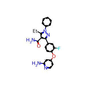 CCc1c(C(N)=O)c(-c2ccc(Oc3[c]c(N)ncc3)c(F)c2)nn1-c1ccccc1